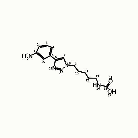 Nc1cccc(-c2cn(CCCCCNC(=O)O)nn2)c1